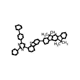 CC1(C)c2ccccc2-c2cc3c(cc21)-c1ccc(-c2ccc4sc5c(-c6cc(-c7ccc(-c8ccccc8)cc7)nc(-c7ccccc7)n6)cccc5c4c2)cc1C3(C)C